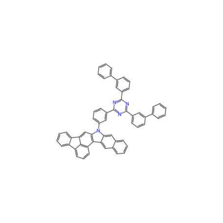 c1ccc(-c2cccc(-c3nc(-c4cccc(-c5ccccc5)c4)nc(-c4cccc(-n5c6cc7ccccc7cc6c6c7cccc8c7c(cc65)-c5ccccc5-8)c4)n3)c2)cc1